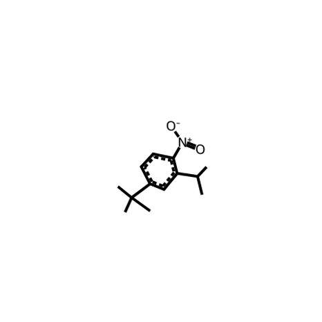 CC(C)c1cc(C(C)(C)C)ccc1[N+](=O)[O-]